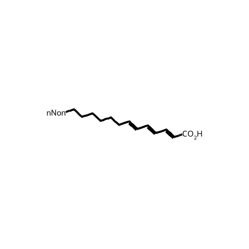 CCCCCCCCCCCCCCCC=CC=CC=CC(=O)O